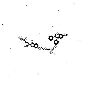 CNC(=O)CCC(C=O)N1Cc2cc(OCCOCCN(C)CCOc3ccc([C@@H]4c5ccc(O)cc5OC[C@@H]4c4ccccc4)cc3)ccc2C1=O